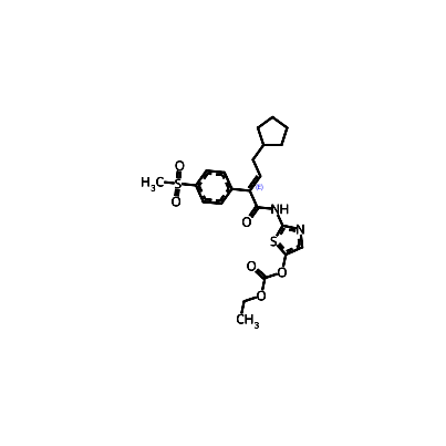 CCOC(=O)Oc1cnc(NC(=O)/C(=C/CC2CCCC2)c2ccc(S(C)(=O)=O)cc2)s1